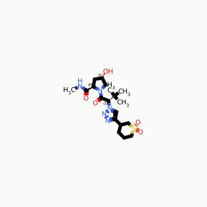 CNC(=O)[C@H]1C[C@H](O)CN1C(=O)[C@@H](n1cc(C2CCCS(=O)(=O)C2)nn1)C(C)(C)C